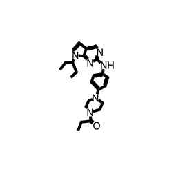 CCC(=O)N1CCN(c2ccc(Nc3ncc4ccn(C(CC)CC)c4n3)cc2)CC1